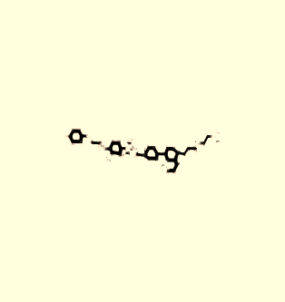 CN(C)CCNC(=O)CCc1ccc(-c2ccc(C(=O)NS(=O)(=O)c3ccc(NCCSc4ccccc4)c([N+](=O)[O-])c3)cc2)c2ncccc12